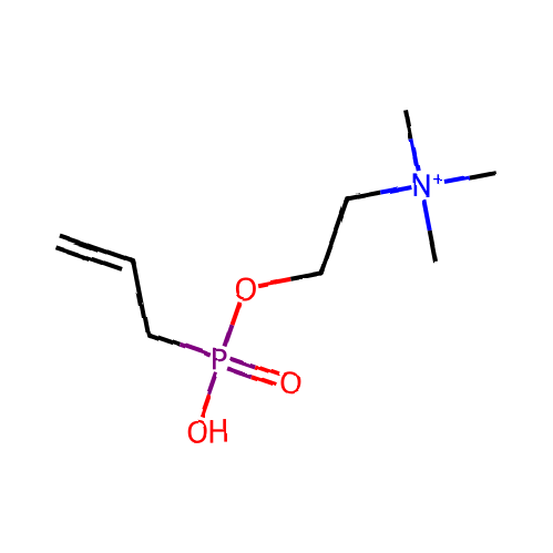 C=CCP(=O)(O)OCC[N+](C)(C)C